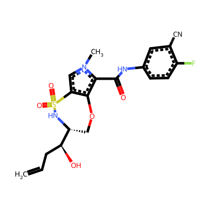 C=CC[C@H](O)[C@H]1COc2c(cn(C)c2C(=O)Nc2ccc(F)c(C#N)c2)S(=O)(=O)N1